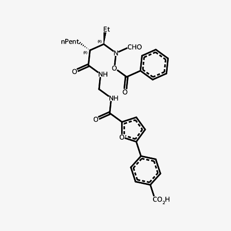 CCCCC[C@@H](C(=O)NCNC(=O)c1ccc(-c2ccc(C(=O)O)cc2)o1)[C@@H](CC)N(C=O)OC(=O)c1ccccc1